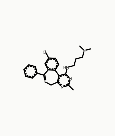 Cc1nc2c(c(NCCCN(C)C)n1)-c1ccc(Cl)cc1C(c1ccccc1)=NC2